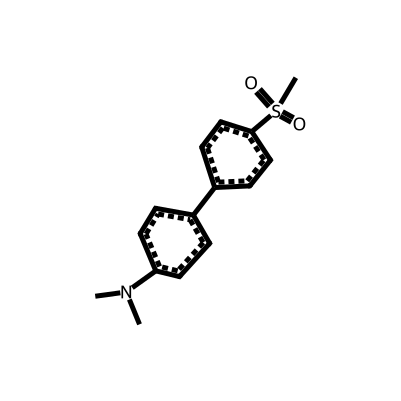 CN(C)c1ccc(-c2ccc(S(C)(=O)=O)cc2)cc1